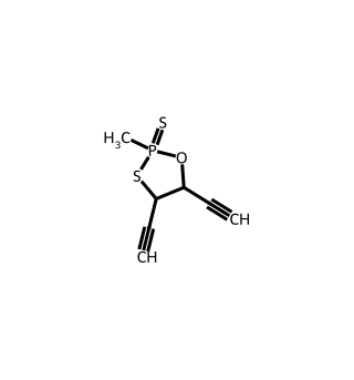 C#CC1OP(C)(=S)SC1C#C